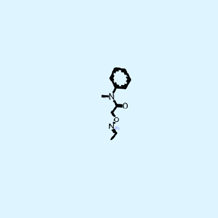 C/C=N/OCC(=O)N(C)c1ccccc1